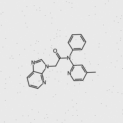 Cc1ccnc(N(C(=O)Cn2cnc3cccnc32)c2ccccc2)c1